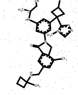 COC1CC(c2cc(N[C@@H](C)CC#N)cc(N3Cc4c(cc(CNC5(C)CCC5)cc4C(F)(F)F)C3=O)c2)(c2nncn2C)C1